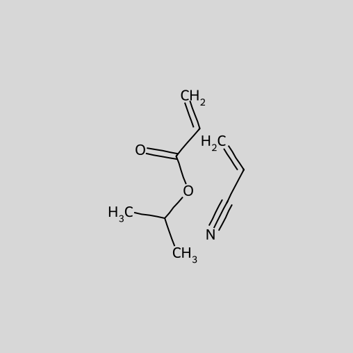 C=CC#N.C=CC(=O)OC(C)C